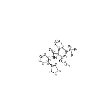 CCc1cc(C(F)(F)F)cc(OC)c1C(=O)N[C@H]1COCC[C@@H]1N1CCCC1